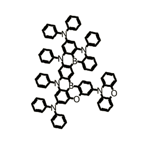 c1ccc(N(c2ccccc2)c2cc3c4c(c2)N(c2ccccc2)c2cc5c(cc2B4c2ccc(N4c6ccccc6Oc6ccccc64)cc2O3)B2c3ccccc3N(c3ccccc3)c3cc(N(c4ccccc4)c4ccccc4)cc(c32)N5c2ccccc2)cc1